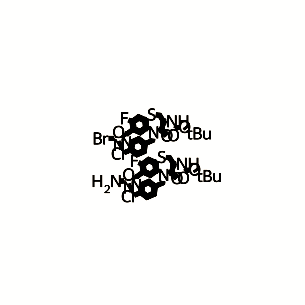 CC(C)(C)OC(=O)N[C@H]1CSc2cc(F)c(-c3nnc(Br)o3)cc2N(Cc2ccc(Cl)cc2)C1=O.CC(C)(C)OC(=O)N[C@H]1CSc2cc(F)c(-c3nnc(N)o3)cc2N(Cc2ccc(Cl)cc2)C1=O